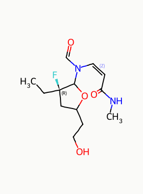 CC[C@@]1(F)CC(CCO)OC1N(C=O)/C=C\C(=O)NC